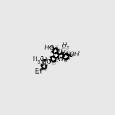 CC[C@@H]1CCN([C@@H](C)COc2ccc(C3Oc4ccc(O)cc4C(C)=C3c3ccc(O)cc3)cc2)C1